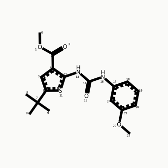 COC(=O)c1cc(C(C)(C)C)sc1NC(=O)Nc1cccc(OC)c1